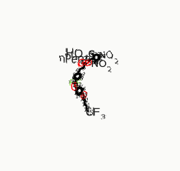 CCCCCC(OC(=O)/C=C/c1ccc(C(F)(F)Oc2ccc(OCCCCCC(F)(F)F)cc2)cc1)c1c(C(=O)O)cc([N+](=O)[O-])cc1[N+](=O)[O-]